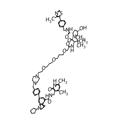 Cc1cc(C)c(CNC(=O)c2cc(-c3ccc(CN4CCN(CCOCCCOCCCOCC(=O)NC(C(=O)N5C[C@H](O)C[C@H]5C(=O)NCc5ccc(-c6scnc6C)cc5)C(C)(C)C)CC4)cc3)cc3c2ccn3C2CCCC2)c(=O)[nH]1